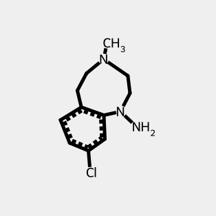 CN1CCc2ccc(Cl)cc2N(N)CC1